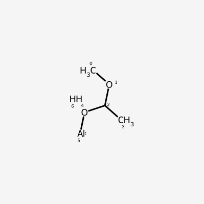 COC(C)[O][Al].[HH]